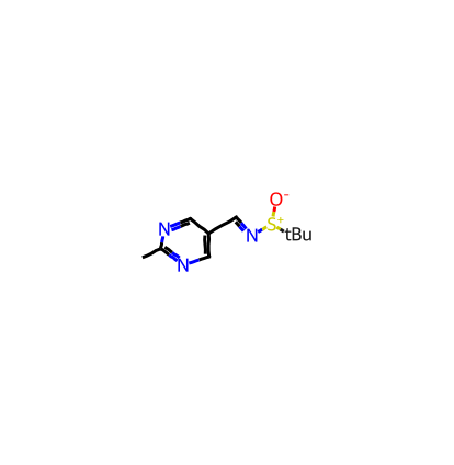 Cc1ncc(C=N[S+]([O-])C(C)(C)C)cn1